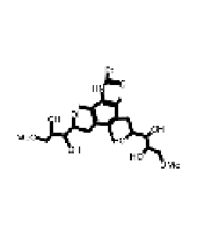 CCC(=O)Nc1c(I)c(CC(O)C(O)C(O)COC)c(I)c(CC(O)C(O)C(O)COC)c1I